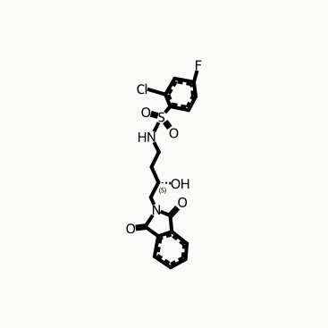 O=C1c2ccccc2C(=O)N1C[C@@H](O)CCNS(=O)(=O)c1ccc(F)cc1Cl